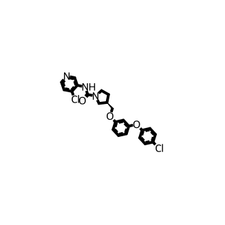 O=C(Nc1cnccc1Cl)N1CC[C@@H](COc2cccc(Oc3ccc(Cl)cc3)c2)C1